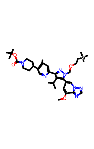 COc1cc(-c2c(C(C)C)c(-c3cc(C)c(C4CCN(C(=O)OC(C)(C)C)CC4)cn3)nn2COCC[Si](C)(C)C)cn2ncnc12